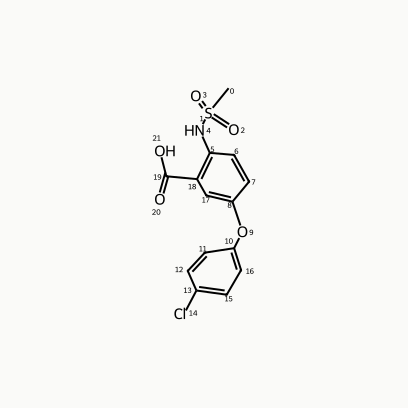 CS(=O)(=O)Nc1ccc(Oc2ccc(Cl)cc2)cc1C(=O)O